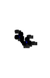 CC(C)(C)c1ccc2c(c1)c1cc(C(C)(C)C)ccc1n2-c1cc(CC(C)(C)c2ccc3c4ccc(C(C)(C)C)cc4n(-c4ccccc4C(C)(C)C)c3c2)cc(C(C)(C)C)c1C(C)(C)C